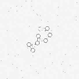 C1=CC2Oc3c(-c4cccc(-c5cccc(-n6c7ccccc7c7cc(-n8c9ccccc9c9ccccc98)ccc76)c5)c4)cccc3C2C=C1